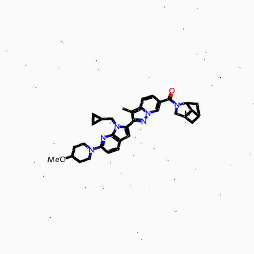 COC1CCN(c2ccc3cc(-c4nn5cc(C(=O)N6CC7CC8CC6[C@H]87)ccc5c4C)n(CC4CC4)c3n2)CC1